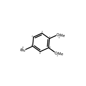 CCC(C)c1ccc(OC)c(OC)c1